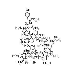 CC[C@H](C)[C@H](NC(=O)[C@@H]1C[C@@H](O)CN1C(=O)[C@@H](N)C(C)C)C(=O)N[C@H](C(=O)N[C@@H](Cc1ccc(O)cc1)C(=O)N[C@@H](CCC(=O)O)C(=O)N[C@@H](CC(N)=O)C(=O)N[C@@H](CCCNC(=N)N)C(=O)N[C@@H](CCN)C(=O)N[C@H](C(=O)N[C@H](CCN)C(=O)N[C@@H](CCCCN)C(=O)N[C@@H](CCN)C(=O)N[C@@H](CCN)C(=O)N[C@@H](CS)C(=O)N[C@@H](Cc1ccc(O)cc1)C(=O)O)[C@@H](C)O)C(C)(C)S